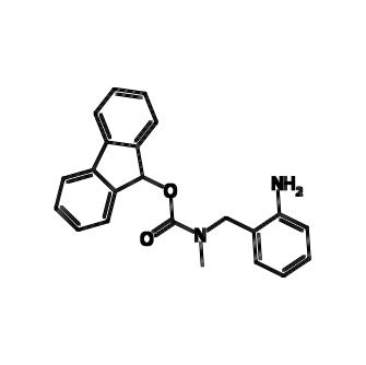 CN(Cc1ccccc1N)C(=O)OC1c2ccccc2-c2ccccc21